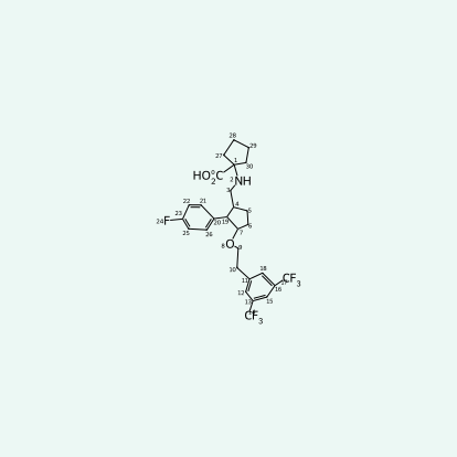 O=C(O)C1(NCC2CCC(OCCc3cc(C(F)(F)F)cc(C(F)(F)F)c3)C2c2ccc(F)cc2)CCCC1